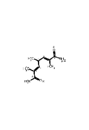 C/C(=C\C(C)/C=C(\C)C(N)=O)C(N)=O